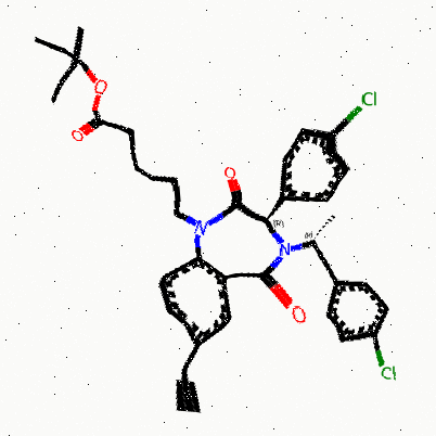 C#Cc1ccc2c(c1)C(=O)N([C@H](C)c1ccc(Cl)cc1)[C@H](c1ccc(Cl)cc1)C(=O)N2CCCCC(=O)OC(C)(C)C